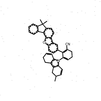 CC1C=Cc2c(c3c(n2C2=CCCC(C#N)=C2c2ccc4oc5c6c(ccc5c4c2)C(C)(C)c2ccccc2-6)C=CCC3)C1